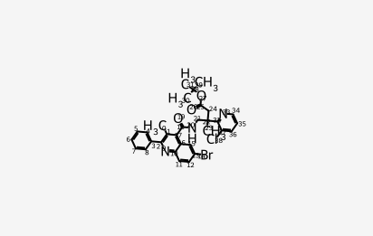 Cc1c(-c2ccccc2)nc2ccc(Br)cc2c1C(=O)NCC(C)(CC(=O)OC(C)(C)C)c1ncccc1Cl